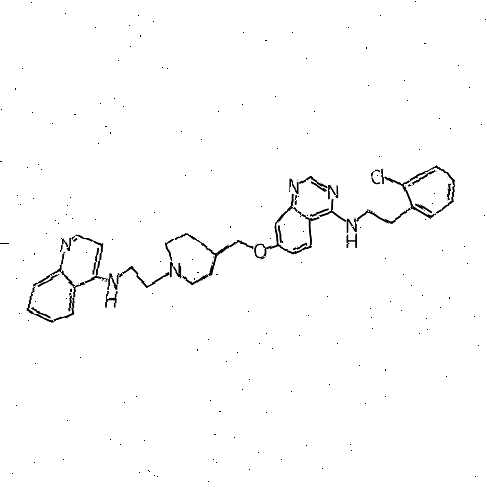 Clc1ccccc1CCNc1ncnc2cc(OCC3CCN(CCNc4ccnc5ccccc45)CC3)ccc12